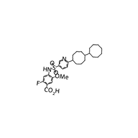 COc1cc(C(=O)O)c(F)cc1NS(=O)(=O)c1ccc(C2CCCC(C3CCCCCCC3)CCC2)nc1